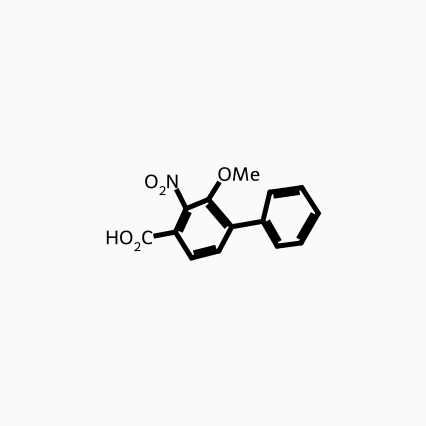 COc1c(-c2ccccc2)ccc(C(=O)O)c1[N+](=O)[O-]